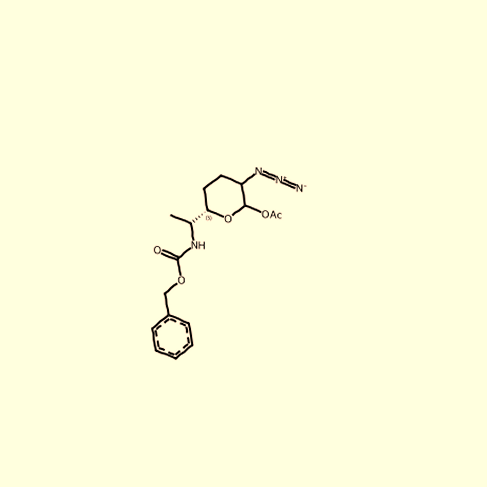 CC(=O)OC1O[C@H](C(C)NC(=O)OCc2ccccc2)CCC1N=[N+]=[N-]